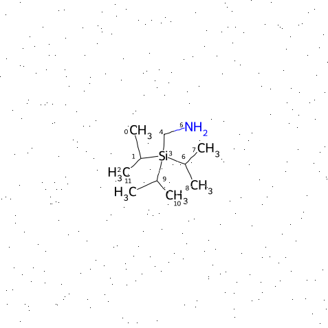 CC(C)[Si](CN)(C(C)C)C(C)C